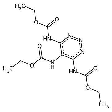 CCOC(=O)Nc1nnnc(NC(=O)OCC)c1NC(=O)OCC